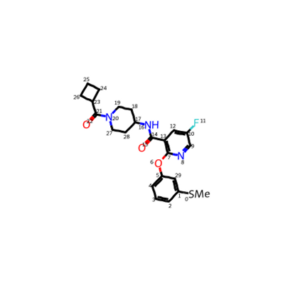 CSc1cccc(Oc2ncc(F)cc2C(=O)NC2CCN(C(=O)C3CCC3)CC2)c1